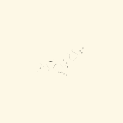 CN(C)c1ccc(-c2oc(-c3ccc(C(F)(F)F)cc3)nc2C(=O)O)cc1